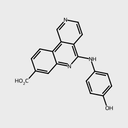 O=C(O)c1ccc2c(c1)nc(Nc1ccc(O)cc1)c1ccncc12